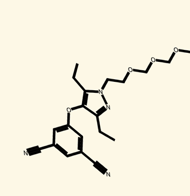 CCc1nn(CCOCOCOC)c(CC)c1Oc1cc(C#N)cc(C#N)c1